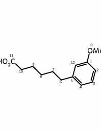 COc1cccc(CCCCCC(=O)O)c1